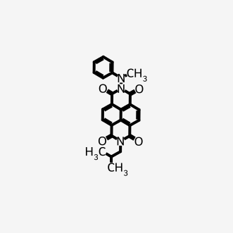 CC(C)CN1C(=O)c2ccc3c4c(ccc(c24)C1=O)C(=O)N(N(C)c1ccccc1)C3=O